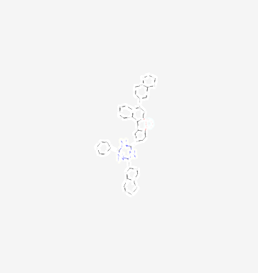 c1ccc(-c2nc(-c3ccc4ccccc4c3)nc(-c3ccc4oc5cc(-c6ccc7ccccc7c6)c6ccccc6c5c4c3)n2)cc1